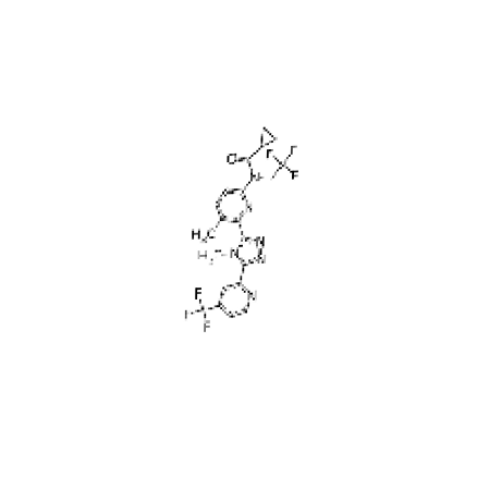 Cc1ccc(N(CC(F)(F)F)C(=O)C2CC2)nc1-c1nnc(-c2cc(C(F)(F)F)ccn2)n1C